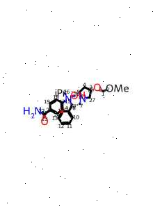 COCO[C@H]1CCN(C[C@H](c2ccccc2)[N+](O)(c2ccc(C(N)=O)cc2)C(C)C)C1